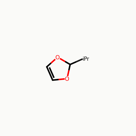 CC(C)C1OC=CO1